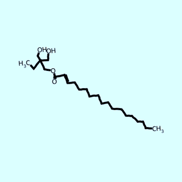 CCCCCCCCCCCCCCCC=CC(=O)OCC(CC)(CO)CO